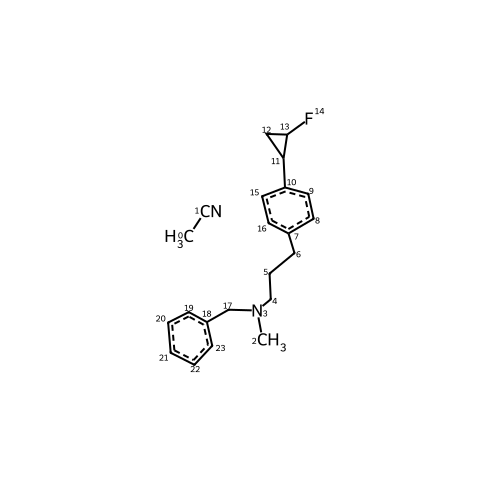 CC#N.CN(CCCc1ccc(C2CC2F)cc1)Cc1ccccc1